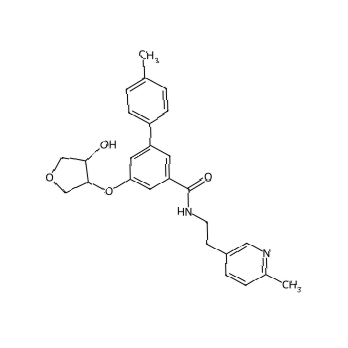 Cc1ccc(-c2cc(OC3COCC3O)cc(C(=O)NCCc3ccc(C)nc3)c2)cc1